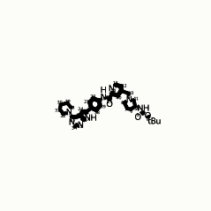 CC(C)(C)OC(=O)N[C@@H]1CCCN(Cc2ccnc(C(=O)Nc3ccc(-c4cc5c(N6CCCCC6)ncnc5[nH]4)cc3)c2)C1